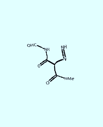 CNC(=O)C(N=N)C(=O)NC=O